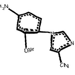 COc1cc(N)ccc1-n1cnc(C#N)c1